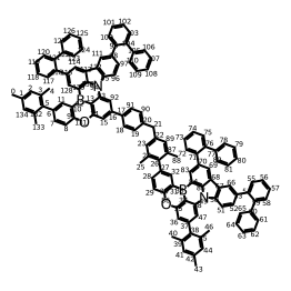 Cc1cc(C)c(-c2ccc3c(c2)B2c4c(cc(-c5ccc(Cc6cc(C)c(-c7ccc8c(c7)B7c9c(cc(-c%10c(C)cc(C)cc%10C)cc9-n9c%10ccc(-c%11ccccc%11-c%11ccccc%11)cc%10c%10cc(-c%11ccccc%11-c%11ccccc%11)cc7c%109)O8)c(C)c6)cc5)cc4-n4c5ccc(-c6ccccc6-c6ccccc6)cc5c5cc(-c6ccccc6-c6ccccc6)cc2c54)O3)c(C)c1